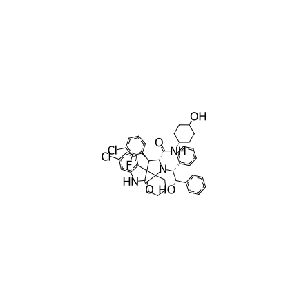 O=C(N[C@H]1CC[C@H](O)CC1)[C@H]1[C@H](c2cccc(Cl)c2F)C2(C(=O)Nc3cc(Cl)ccc32)C2(CCCCC2)N1[C@H](c1ccccc1)[C@@H](O)c1ccccc1